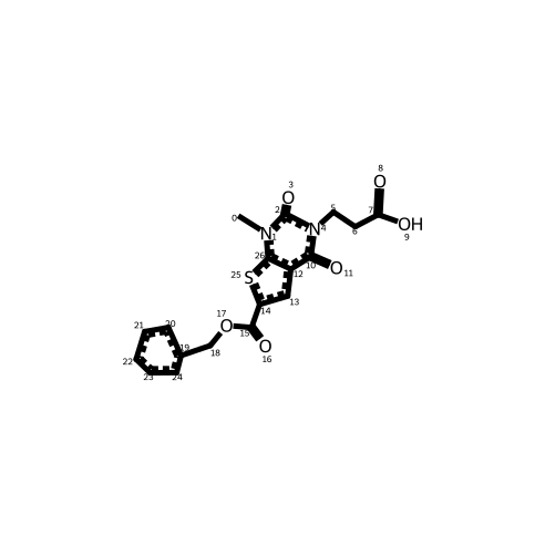 Cn1c(=O)n(CCC(=O)O)c(=O)c2cc(C(=O)OCc3ccccc3)sc21